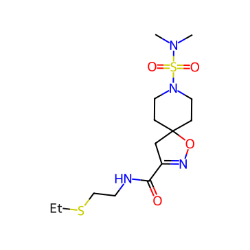 CCSCCNC(=O)C1=NOC2(CCN(S(=O)(=O)N(C)C)CC2)C1